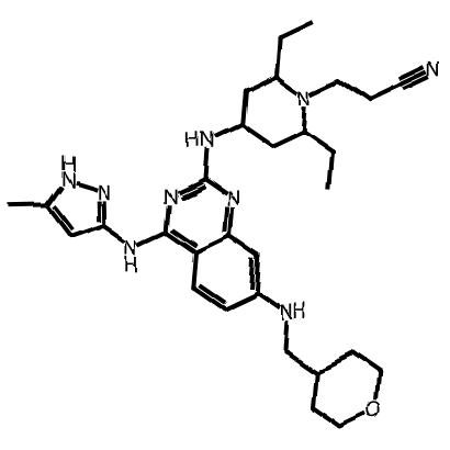 CCC1CC(Nc2nc(Nc3cc(C)[nH]n3)c3ccc(NCC4CCOCC4)cc3n2)CC(CC)N1CCC#N